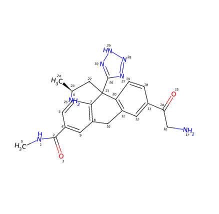 CNC(=O)c1ccc2c(c1)Cc1cc(C(=O)CN)ccc1C2(C[C@H](C)N)c1nn[nH]n1